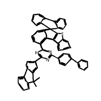 CC1(C)c2ccccc2-c2ccc(-c3nc(-c4ccc(-c5ccccc5)cc4)nc(-c4cccc5c4-c4c(sc6ccccc46)C54c5ccccc5-c5ccccc54)n3)cc21